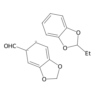 CCC1Oc2ccccc2O1.O=C[C]1[C]C=C2OCOC2=C1